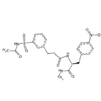 CNC(=O)[C@H](Cc1ccc([N+](=O)[O-])cc1)NC(=O)CCc1cccc(S(=O)(=O)NC(C)=O)c1